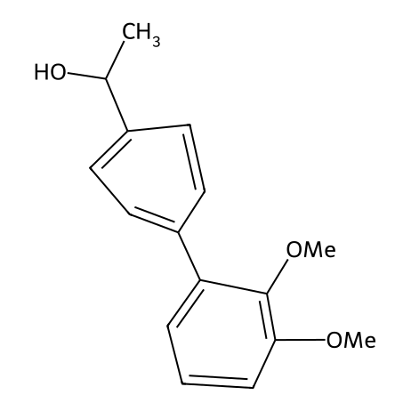 COc1cccc(-c2ccc(C(C)O)cc2)c1OC